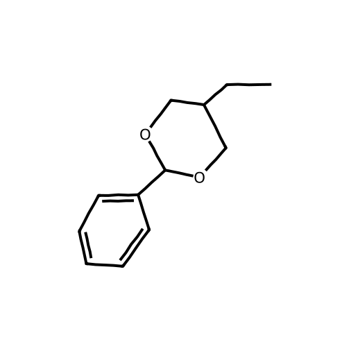 CCC1COC(c2ccccc2)OC1